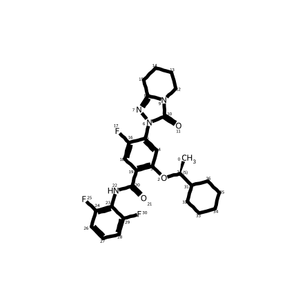 C[C@H](Oc1cc(-n2nc3n(c2=O)CCCC3)c(F)cc1C(=O)Nc1c(F)cccc1F)C1CCCCC1